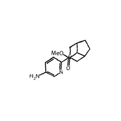 COC(=O)C1C2CCC1CN(c1ccc(N)cn1)C2